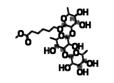 COC(=O)CCCCCO[C@H]1OC(C)[C@@H](O)[C@H](O)C1O[C@H]1OC(C)[C@@H](O)[C@H](O[C@H]2OC(C)[C@@H](O)[C@H](O)C2O)C1O